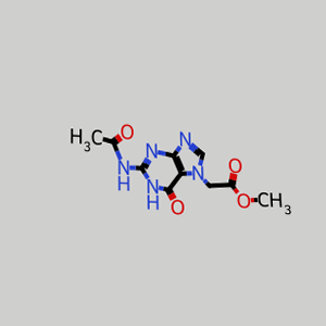 COC(=O)Cn1cnc2nc(NC(C)=O)[nH]c(=O)c21